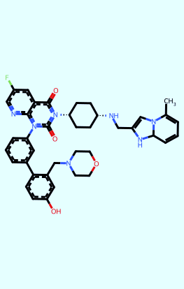 CC1=CC=CC2NC(CN[C@H]3CC[C@@H](n4c(=O)c5cc(F)cnc5n(-c5cccc(-c6ccc(O)cc6CN6CCOCC6)c5)c4=O)CC3)=CN12